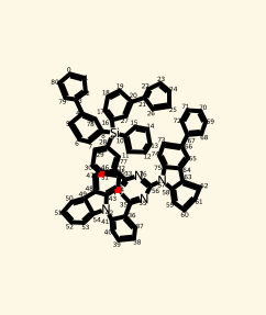 c1ccc(-c2cccc([Si](c3ccccc3)(c3cccc(-c4ccccc4)c3)c3cccc(-c4nc(-c5ccccc5-n5c6ccccc6c6ccccc65)nc(-n5c6ccccc6c6cc(-c7ccccc7)ccc65)n4)c3)c2)cc1